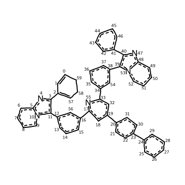 C1=CC(c2nc3ccccn3c2-c2cccc(-c3cc(-c4ccc(-c5ccccc5)cc4)cc(-c4cccc(-c5c(-c6ccccc6)nc6ccccn56)c4)n3)c2)=CCC1